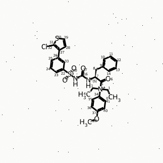 CC[N+](CC)(C(=O)[C@H](Cc1ccccc1)NC(=O)NS(=O)(=O)c1cccc(-c2ccsc2Cl)c1)c1ccc(OC)cc1